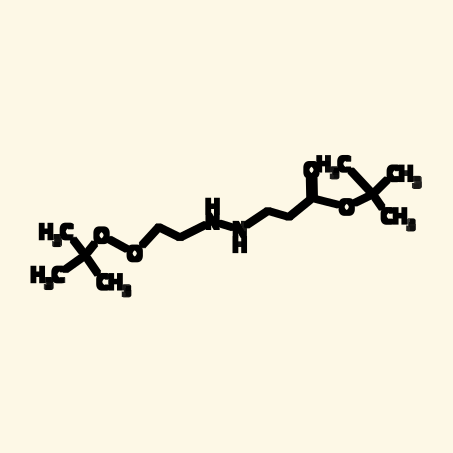 CC(C)(C)OOCCNNCCC(=O)OC(C)(C)C